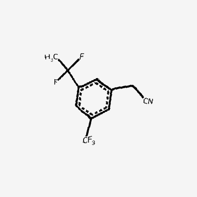 CC(F)(F)c1cc(CC#N)cc(C(F)(F)F)c1